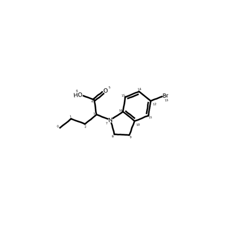 CCCC(C(=O)O)N1CCc2cc(Br)ccc21